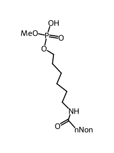 CCCCCCCCCC(=O)NCCCCCCOP(=O)(O)OC